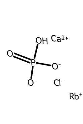 O=P([O-])([O-])O.[Ca+2].[Cl-].[Rb+]